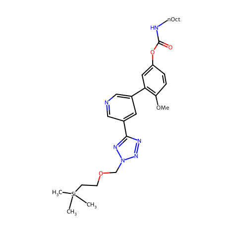 CCCCCCCCNC(=O)Oc1ccc(OC)c(-c2cncc(-c3nnn(COCC[Si](C)(C)C)n3)c2)c1